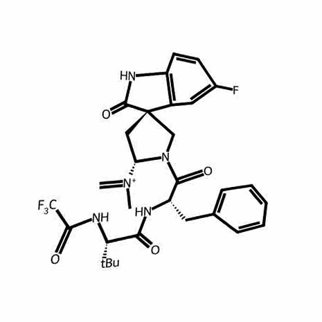 C=[N+](C)[C@@H]1C[C@@]2(CN1C(=O)[C@H](Cc1ccccc1)NC(=O)[C@@H](NC(=O)C(F)(F)F)C(C)(C)C)C(=O)Nc1ccc(F)cc12